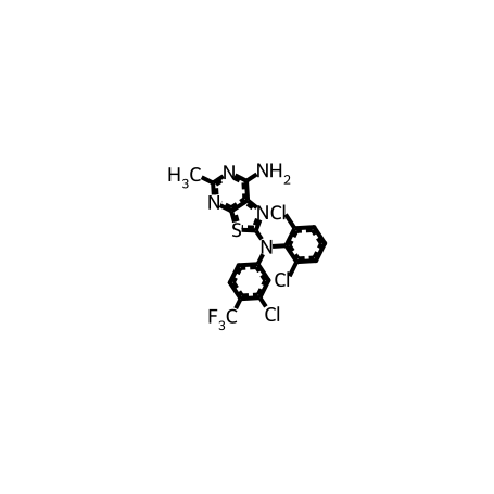 Cc1nc(N)c2nc(N(c3ccc(C(F)(F)F)c(Cl)c3)c3c(Cl)cccc3Cl)sc2n1